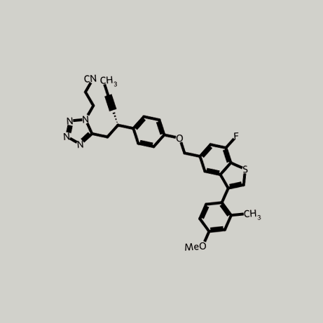 CC#C[C@@H](Cc1nnnn1CCC#N)c1ccc(OCc2cc(F)c3scc(-c4ccc(OC)cc4C)c3c2)cc1